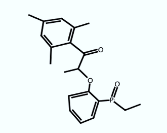 CC[P](=O)c1ccccc1OC(C)C(=O)c1c(C)cc(C)cc1C